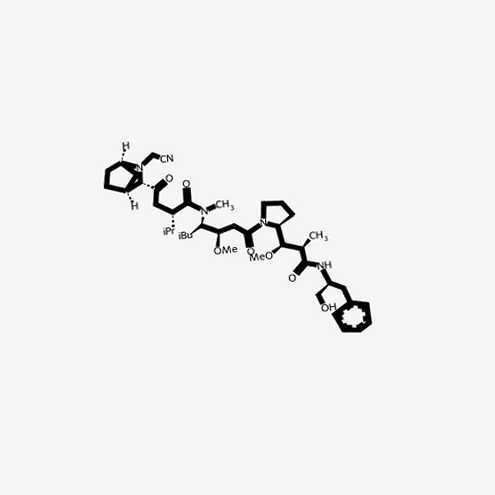 CC[C@H](C)[C@@H]([C@@H](CC(=O)N1CCC[C@H]1[C@H](OC)[C@@H](C)C(=O)N[C@H](CO)Cc1ccccc1)OC)N(C)C(=O)[C@@H](CC(=O)[C@@H]1[C@H]2CC[C@H](C2)N1CC#N)C(C)C